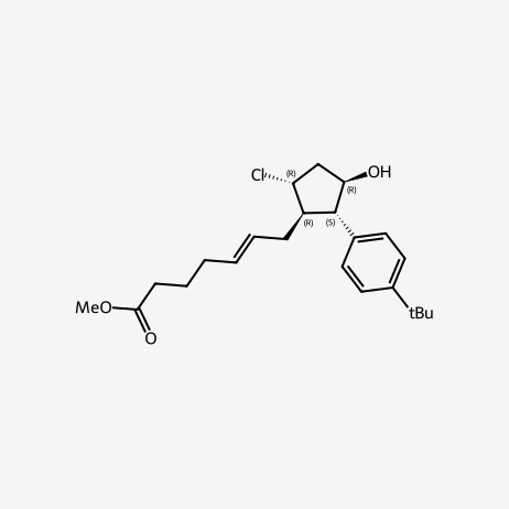 COC(=O)CCCC=CC[C@@H]1[C@@H](c2ccc(C(C)(C)C)cc2)[C@H](O)C[C@H]1Cl